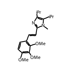 COc1ccc(C=Cc2nc(C(C)C)c(C(C)C)n2C)c(OC)c1OC